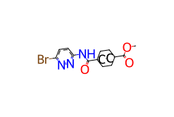 COC(=O)C12CCC(C(=O)Nc3ccc(Br)nn3)(CC1)CC2